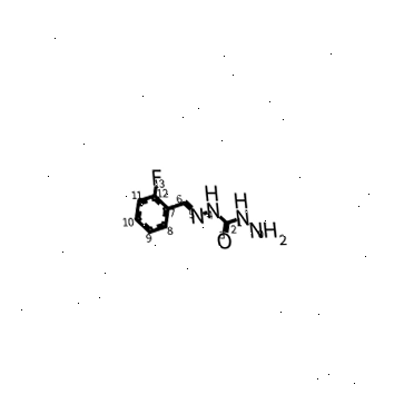 NNC(=O)NN=Cc1ccccc1F